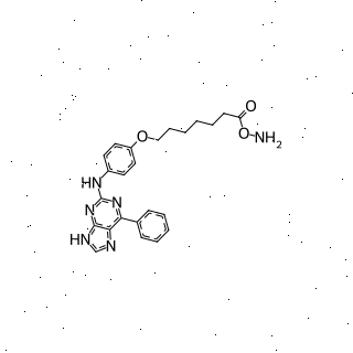 NOC(=O)CCCCCCOc1ccc(Nc2nc(-c3ccccc3)c3nc[nH]c3n2)cc1